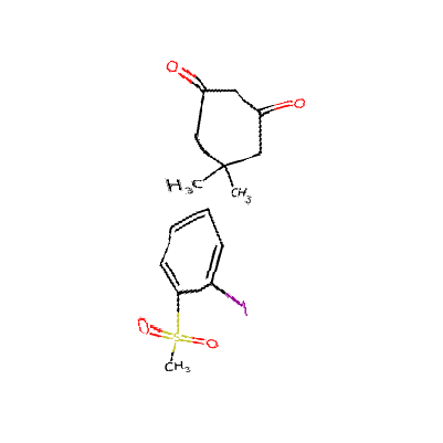 CC1(C)CC(=O)CC(=O)C1.CS(=O)(=O)c1ccccc1I